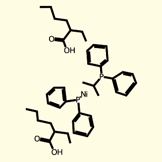 CC(C)P(c1ccccc1)c1ccccc1.CCCCC(CC)C(=O)O.CCCCC(CC)C(=O)O.[Ni][P](c1ccccc1)c1ccccc1